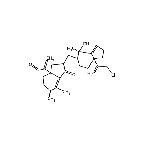 C=C(C=O)C12CCC(C)C(C)=C1C(=O)C(CC1CCC3(C(=C)CCl)CCC=C3C1(C)O)C2